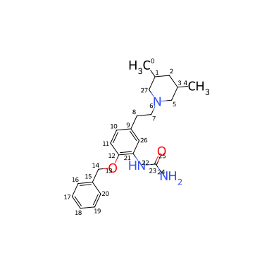 CC1CC(C)CN(CCc2ccc(OCc3ccccc3)c(NC(N)=O)c2)C1